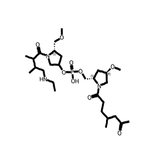 CCNCC(C)C(C)C(=O)N1CC(OP(=O)(O)OC[C@@H]2C[C@@H](OC)CN2C(=O)CCC(C)CC(C)=O)C[C@H]1COC